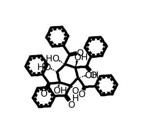 O=C(c1ccccc1)[C@@]1(O)[C@](O)(C(=O)c2ccccc2)[C@@](O)(C(=O)c2ccccc2)[C@H](O)[C@@](O)(C(=O)c2ccccc2)[C@]1(O)C(=O)c1ccccc1